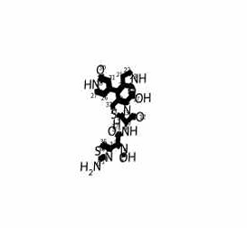 Nc1nc(C(=NO)C(=O)N[C@@H]2C(=O)N3C(C(=O)O)=C(C(=C4CCNC4)c4cc[nH]c(=O)c4)CS[C@H]23)cs1